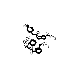 NC(=O)c1ccc2c(c1)N(C(=O)Cc1ccc(O)cc1)CC2.NCc1cccc(C(=O)N(CC(=O)OC(=O)C(F)(F)F)c2ccccc2)c1